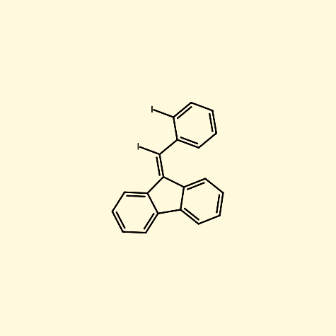 IC(=C1c2ccccc2-c2ccccc21)c1ccccc1I